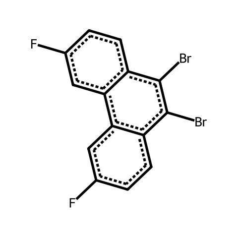 Fc1ccc2c(Br)c(Br)c3ccc(F)cc3c2c1